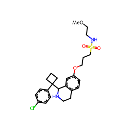 COCCNS(=O)(=O)CCCOc1ccc2c(c1)C(C1(c3ccc(Cl)cc3)CCC1)NCC2